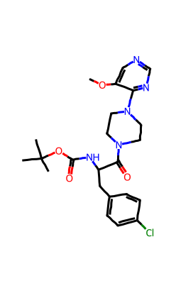 COc1cncnc1N1CCN(C(=O)C(Cc2ccc(Cl)cc2)NC(=O)OC(C)(C)C)CC1